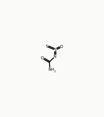 NC(=O)N=S(=O)=S